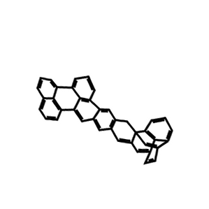 C1=C2C=c3ccc4c5cccc(c35)C2(C=4)Cc2cc3c(cc21)cc1c2cccc4cccc(c5cccc3c51)c42